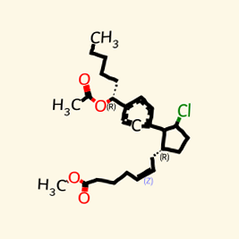 CCCCC[C@@H](OC(C)=O)c1ccc(C2C(Cl)CC[C@@H]2C/C=C\CCCC(=O)OC)cc1